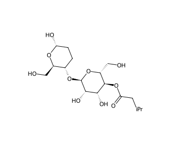 CC(C)CC(=O)O[C@H]1[C@H](O)[C@H](O)[C@@H](O[C@H]2CC[C@@H](O)O[C@@H]2CO)O[C@@H]1CO